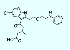 CC(CC(=O)O)CC(=O)c1c(CCOCCNc2cccnc2)n(C)c2ncc(Cl)cc12